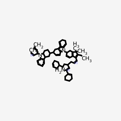 C=CCC(/C=C\C)N1c2ccccc2C2CC(C3C=Cc4c(c5c(n4C4C=CC6=C(C4)C(C)(C)C(CC)=C6/C=C\CC(/C=C(\N)C4=CCCCC4)CCC4CC=CCC4)=CCCC=5)C3)CCC21